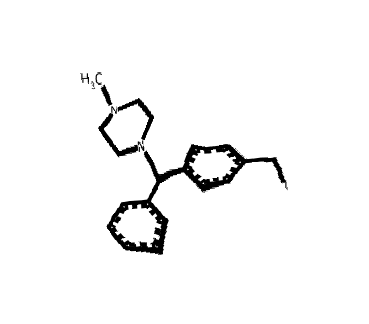 CN1CCN(C(c2ccccc2)c2ccc(CI)cc2)CC1